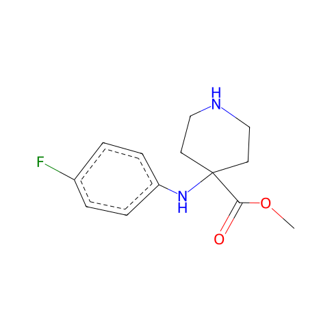 COC(=O)C1(Nc2ccc(F)cc2)CCNCC1